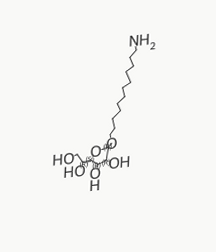 NCCCCCCCCCCCCO[C@@H]1O[C@@H]([C@H](O)CO)[C@H](O)[C@H]1O